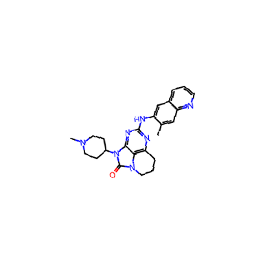 Cc1cc2ncccc2cc1Nc1nc2c3c(n1)n(C1CCN(C)CC1)c(=O)n3CCC2